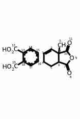 CC12C=CCCC1C(=O)OC2=O.O=C(O)c1ccccc1C(=O)O